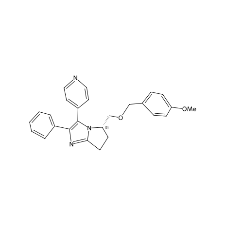 COc1ccc(COC[C@@H]2CCc3nc(-c4ccccc4)c(-c4ccncc4)n32)cc1